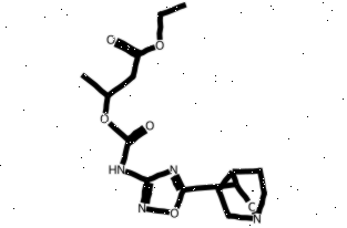 CCOC(=O)CC(C)OC(=O)Nc1noc(C2CN3CCC2CC3)n1